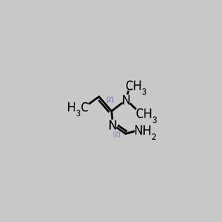 C/C=C(\N=C/N)N(C)C